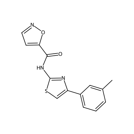 Cc1cccc(-c2csc(NC(=O)c3ccno3)n2)c1